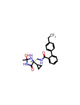 CC1(O)NC(=O)[C@](CNC(=O)c2ccccc2-c2ccc(CC(F)(F)F)cc2)(C2CC2)N1